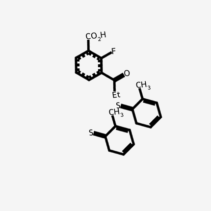 CC1=CC=CCC1=S.CC1=CC=CCC1=S.CCC(=O)c1cccc(C(=O)O)c1F